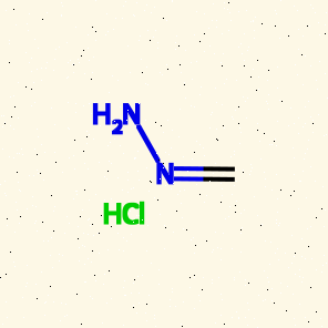 C=NN.Cl